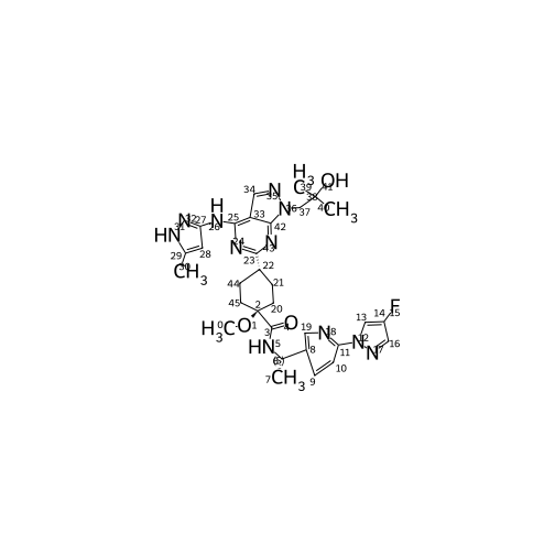 CO[C@]1(C(=O)N[C@@H](C)c2ccc(-n3cc(F)cn3)nc2)CC[C@@H](c2nc(Nc3cc(C)[nH]n3)c3cnn(CC(C)(C)O)c3n2)CC1